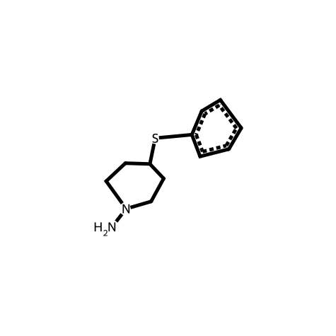 NN1CCC(Sc2ccccc2)CC1